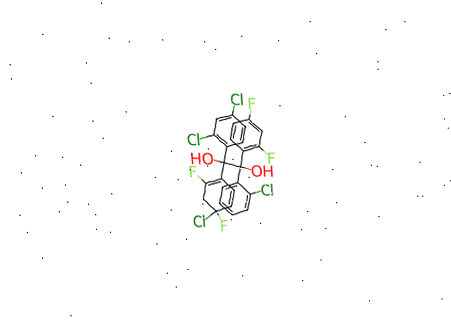 OC(C1=C(F)CC(F)(Cl)C=C1)(c1ccc(Cl)cc1Cl)C(O)(c1ccc(F)cc1F)c1ccccc1Cl